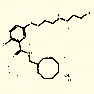 O=C(NC[C]1CCCCCCC1)c1cc(OCCCNCCCO)ccc1Cl.[CH2].[CH2]